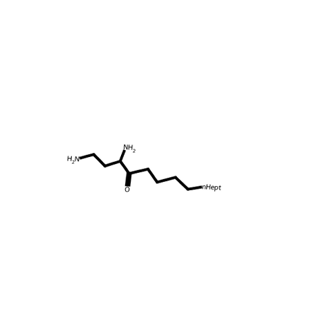 CCCCCCCCCCCC(=O)C(N)CCN